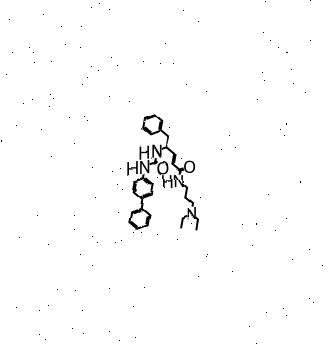 CCN(CC)CCCNC(=O)/C=C/[C@H](Cc1ccccc1)NC(=O)Nc1ccc(-c2ccccc2)cc1